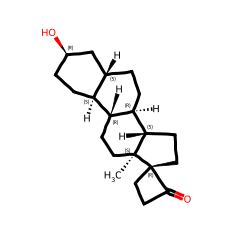 C[C@]12CC[C@H]3[C@@H](CC[C@H]4C[C@H](O)CC[C@@H]43)[C@@H]1CC[C@@]21CCC1=O